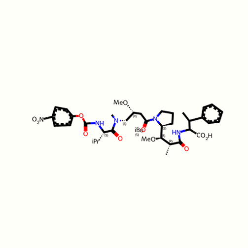 CC[C@H](C)[C@@H]([C@@H](CC(=O)N1CCC[C@H]1[C@H](OC)[C@@H](C)C(=O)NC(C(=O)O)C(C)c1ccccc1)OC)N(C)C(=O)[C@@H](NC(=O)Oc1ccc([N+](=O)[O-])cc1)C(C)C